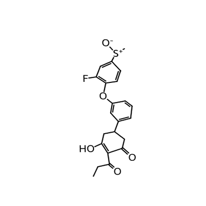 CCC(=O)C1=C(O)CC(c2cccc(Oc3ccc([S+](C)[O-])cc3F)c2)CC1=O